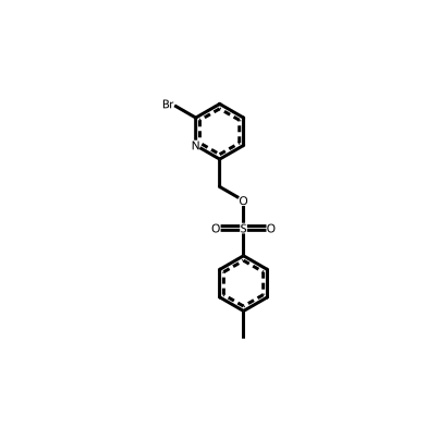 Cc1ccc(S(=O)(=O)OCc2cccc(Br)n2)cc1